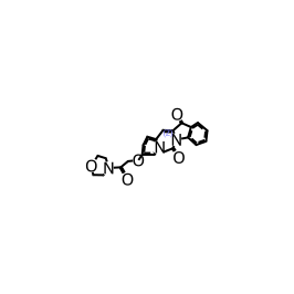 CC(=O)N1/C(=C\c2ccc(OCC(=O)N3CCOCC3)cn2)C(=O)c2ccccc21